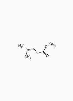 CC(C)=CCC(=O)O[SiH3]